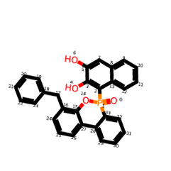 O=P1(c2c(O)c(O)cc3ccccc23)Oc2c(Cc3ccccc3)cccc2-c2ccccc21